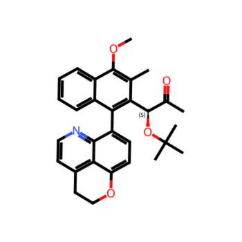 COc1c(C)c([C@H](OC(C)(C)C)C(C)=O)c(-c2ccc3c4c(ccnc24)CCO3)c2ccccc12